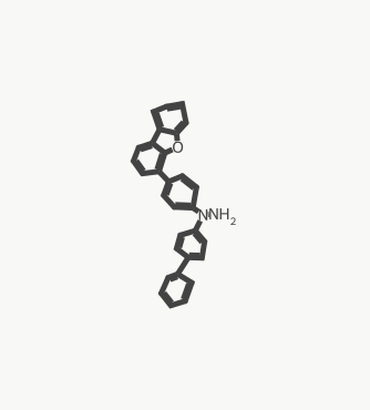 NN(c1ccc(-c2ccccc2)cc1)c1ccc(-c2cccc3c2oc2ccccc23)cc1